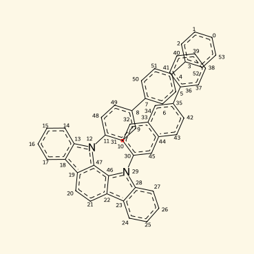 c1ccc(-c2ccc(-c3ccc(-n4c5ccccc5c5ccc6c7ccccc7n(-c7ccc8cc(-c9ccccc9)ccc8c7)c6c54)cc3)cc2)cc1